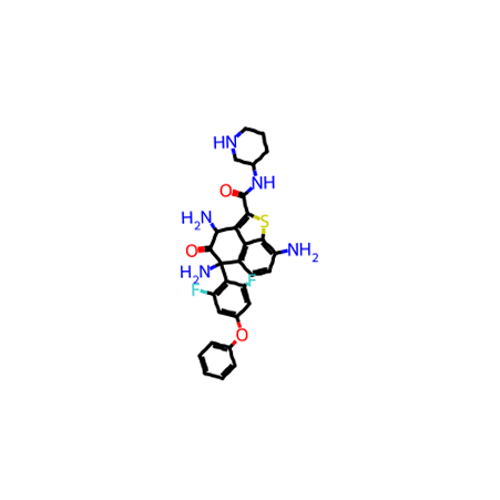 Nc1ccc2c3c(c(C(=O)NC4CCCNC4)sc13)C(N)C(=O)C2(N)c1c(F)cc(Oc2ccccc2)cc1F